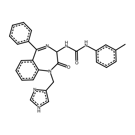 Cc1cccc(NC(=O)NC2N=C(c3ccccc3)c3ccccc3N(Cc3c[nH]cn3)C2=O)c1